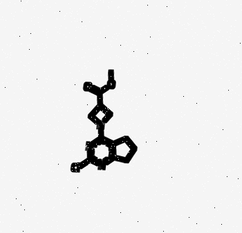 COC(=O)C1CN(c2nc(Cl)nc3c2CCC3)C1